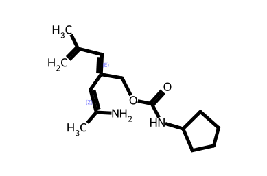 C=C(C)/C=C(\C=C(\C)N)COC(=O)NC1CCCC1